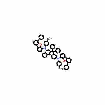 CCCc1ccc(N(c2ccc3c(c2)C(c2ccccc2)(c2ccccc2)c2cc(N(c4ccc(CCC)cc4)c4cccc5c4oc4c(-c6ccccc6)cccc45)c4ccccc4c2-3)c2cccc3c2oc2c(-c4ccccc4)cccc23)cc1